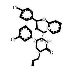 C=CC[C@H]1C[C@H](c2cccc(Cl)c2)[C@H](C(C)C(C)C(Oc2ccccn2)c2ccc(Cl)cc2)NC1=O